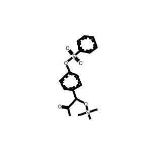 CC(=O)C(O[Si](C)(C)C)c1ccc(OS(=O)(=O)c2ccccc2)cc1